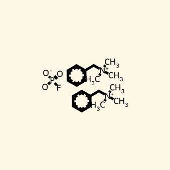 C[N+](C)(C)Cc1ccccc1.C[N+](C)(C)Cc1ccccc1.O=P([O-])([O-])F